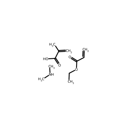 C=C(C)C(=O)O.C=CC(=O)OCC.CNC